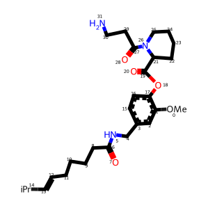 COc1cc(CNC(=O)CCCC/C=C/C(C)C)ccc1OC(=O)C1CCCCN1C(=O)CCN